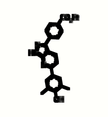 CCOC(=O)c1ccc(-c2n[nH]c3nc(-c4cc(C)c(O)c(C)c4)ccc23)cc1